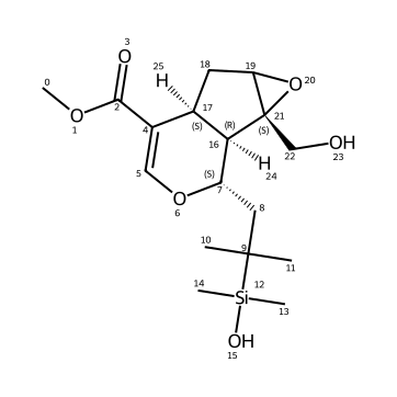 COC(=O)C1=CO[C@@H](CC(C)(C)[Si](C)(C)O)[C@H]2[C@@H]1CC1O[C@@]12CO